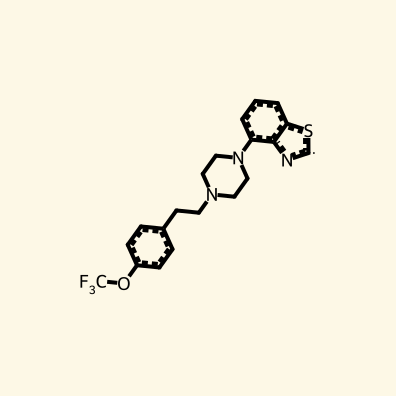 FC(F)(F)Oc1ccc(CCN2CCN(c3cccc4s[c]nc34)CC2)cc1